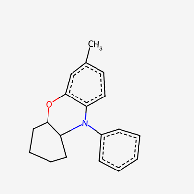 Cc1ccc2c(c1)OC1CCCCC1N2c1ccccc1